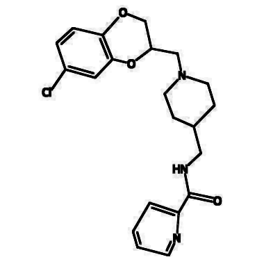 O=C(NCC1CCN(CC2COc3ccc(Cl)cc3O2)CC1)c1ccccn1